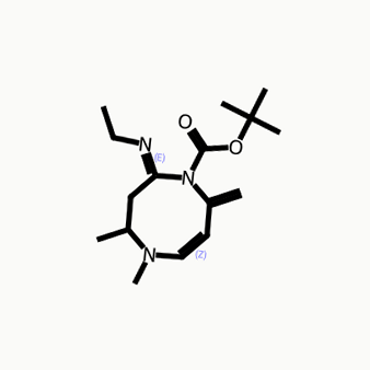 C=C1/C=C\N(C)C(C)C/C(=N\CC)N1C(=O)OC(C)(C)C